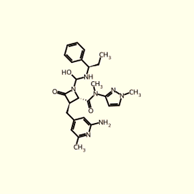 CC[C@@H](NC(O)N1C(=O)[C@H](Cc2cc(C)nc(N)c2)[C@H]1C(=O)N(C)c1ccn(C)n1)c1ccccc1